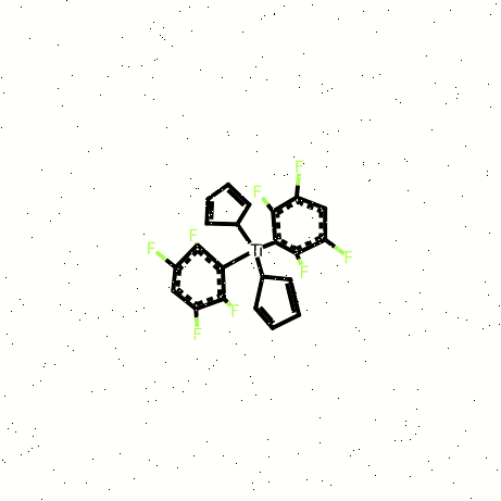 Fc1cc(F)c(F)[c]([Ti]([c]2c(F)c(F)cc(F)c2F)([CH]2C=CC=C2)[CH]2C=CC=C2)c1F